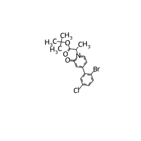 CC(C(=O)OC(C)(C)C)n1ccc(-c2cc(Cl)ccc2Br)cc1=O